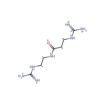 N=C(N)NCCNC(=O)CCNC(=N)N